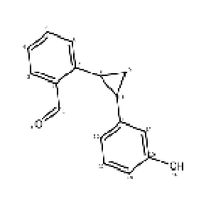 O=Cc1ccccc1C1CC1c1cccc(O)c1